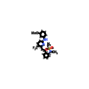 COc1cccc(Nc2ccc(C(F)(F)F)c(CCc3ccccc3N(C)S(C)(=O)=O)n2)c1